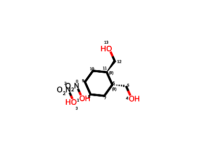 O=[N+]([O-])O.O=[N+]([O-])O.OC[C@@H]1CCCC[C@H]1CO